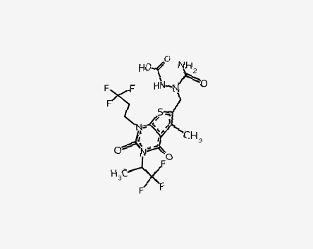 Cc1c(CN(NC(=O)O)C(N)=O)sc2c1c(=O)n(C(C)C(F)(F)F)c(=O)n2CCC(F)(F)F